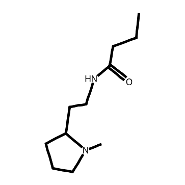 CCCC(=O)NCCC1CCCN1C